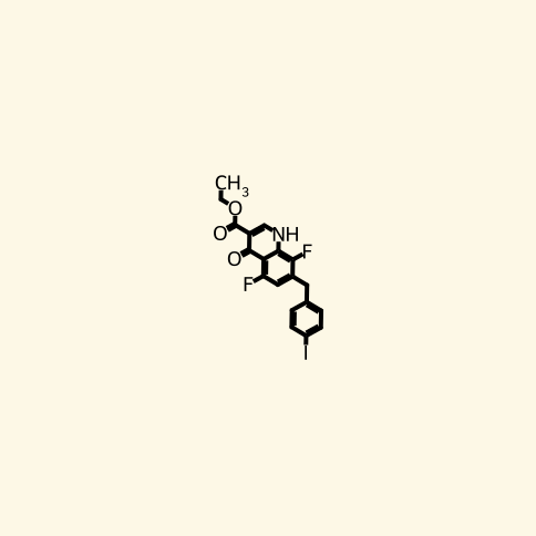 CCOC(=O)c1c[nH]c2c(F)c(Cc3ccc(I)cc3)cc(F)c2c1=O